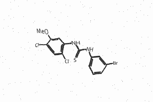 COc1cc(NC(=S)Nc2cccc(Br)c2)c(Cl)cc1Cl